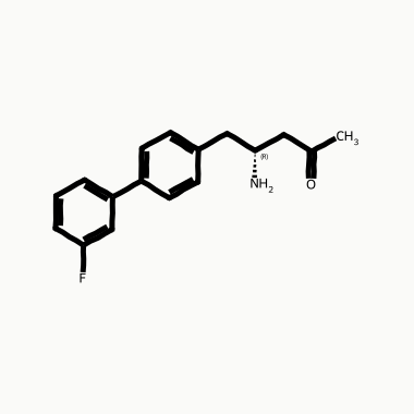 CC(=O)C[C@H](N)Cc1ccc(-c2cccc(F)c2)cc1